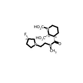 CN(CCN1CC[C@H](F)C1)C(=O)[C@H]1CCCN(C(=O)O)[C@H]1C(=O)O